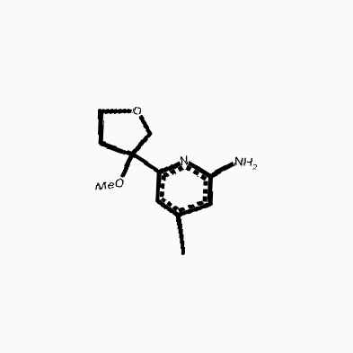 COC1(c2cc(C)cc(N)n2)CCOC1